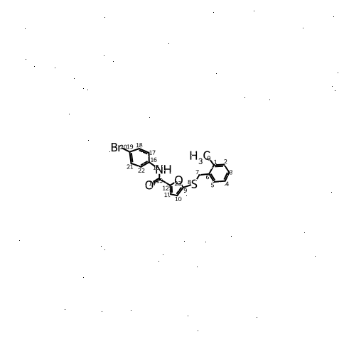 Cc1ccccc1CSc1ccc(C(=O)Nc2ccc(Br)cc2)o1